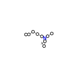 CC1(C)c2ccccc2-c2ccc(N(c3ccc(-c4ccccc4)cc3)c3ccc(-c4ccc(-c5cccc(-c6ccc7ccccc7c6)c5)cc4)cc3)cc21